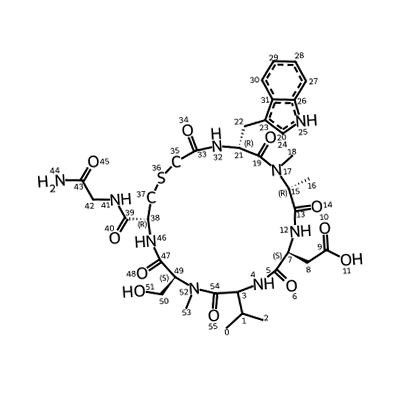 CC(C)C1NC(=O)[C@H](CC(=O)O)NC(=O)[C@@H](C)N(C)C(=O)[C@@H](Cc2c[nH]c3ccccc23)NC(=O)CSC[C@@H](C(=O)NCC(N)=O)NC(=O)[C@H](CO)N(C)C1=O